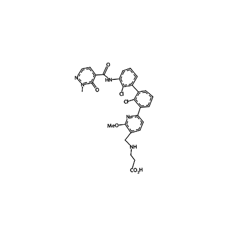 COc1nc(-c2cccc(-c3cccc(NC(=O)c4ccnn(C)c4=O)c3Cl)c2Cl)ccc1CNCCC(=O)O